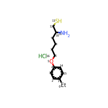 CCc1ccc(OCCCCC(N)CS)cc1.Cl